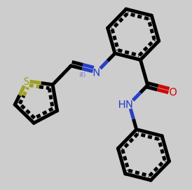 O=C(Nc1ccccc1)c1ccccc1/N=C/c1cccs1